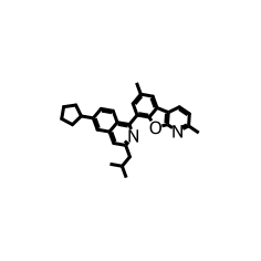 Cc1cc(-c2nc(CC(C)C)cc3cc(C4CCCC4)ccc23)c2oc3nc(C)ccc3c2c1